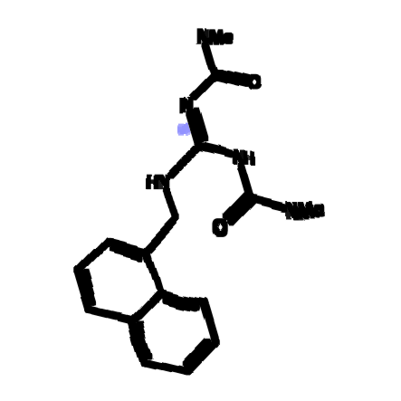 CNC(=O)/N=C(/NCc1cccc2ccccc12)NC(=O)NC